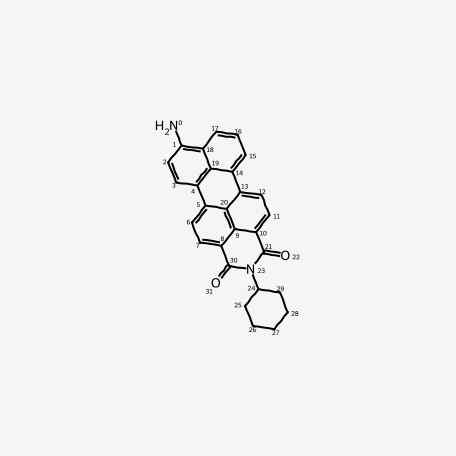 Nc1ccc2c3ccc4c5c(ccc(c6cccc1c62)c53)C(=O)N(C1CCCCC1)C4=O